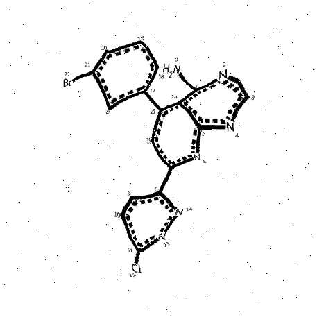 Nc1ncnc2nc(-c3ccc(Cl)nn3)cc(-c3cccc(Br)c3)c12